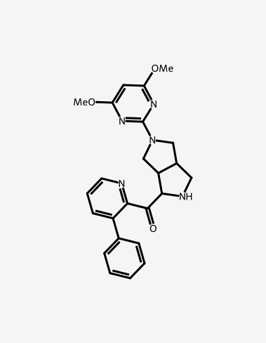 COc1cc(OC)nc(N2CC3CNC(C(=O)c4ncccc4-c4ccccc4)C3C2)n1